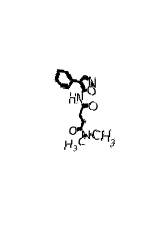 CN(C)C(=O)CCC(=O)Nc1oncc1-c1ccccc1